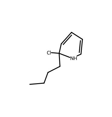 CCCCC1(Cl)C=CC=CN1